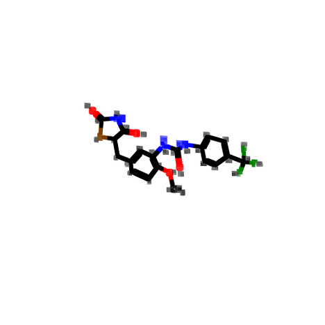 COc1ccc(CC2SC(=O)NC2=O)cc1NC(=O)Nc1ccc(C(F)(F)F)cc1